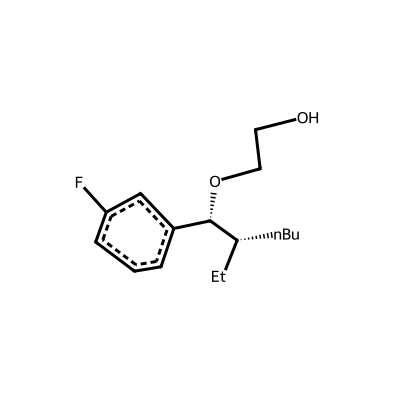 CCCC[C@H](CC)[C@@H](OCCO)c1cccc(F)c1